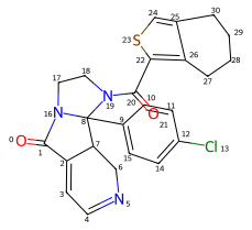 O=C1C2=CC=NCC2C2(c3ccc(Cl)cc3)N1CCN2C(=O)c1scc2c1CCCC2